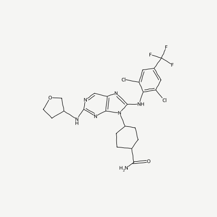 NC(=O)C1CCC(n2c(Nc3c(Cl)cc(C(F)(F)F)cc3Cl)nc3cnc(NC4CCOC4)nc32)CC1